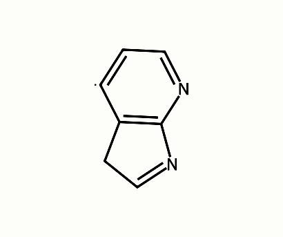 [c]1ccnc2c1CC=N2